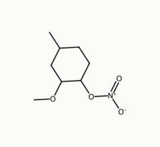 COC1CC(C)CCC1O[N+](=O)[O-]